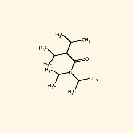 CC(C)C(C(=O)N(C(C)C)C(C)C)C(C)C